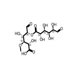 CO[C@@H]([C@H](O)[C@H](C=O)OC(=O)[C@@H](O)[C@@H](O)[C@H](O)[C@@H](O)C=O)[C@H](O)C(=O)O